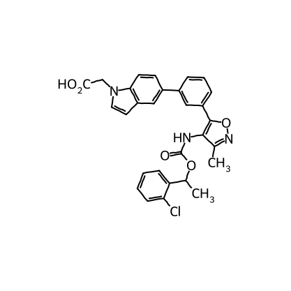 Cc1noc(-c2cccc(-c3ccc4c(ccn4CC(=O)O)c3)c2)c1NC(=O)OC(C)c1ccccc1Cl